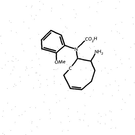 COc1ccccc1N(C(=O)O)C1CCC=CCCC1N